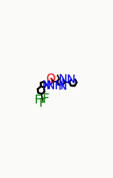 Cc1nc(-c2ccccn2)ncc1C(=O)Nn1ccc2ccc(C(F)(F)F)cc21